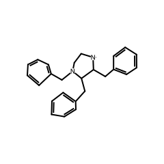 c1ccc(CC2[N]CCN(Cc3ccccc3)C2Cc2ccccc2)cc1